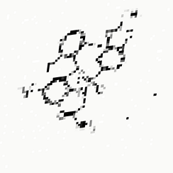 Cc1ccc(N(CC(N)=O)S(=O)(=O)c2ccc3c(c2)OC(C)O3)c(Cc2c(F)cccc2F)c1